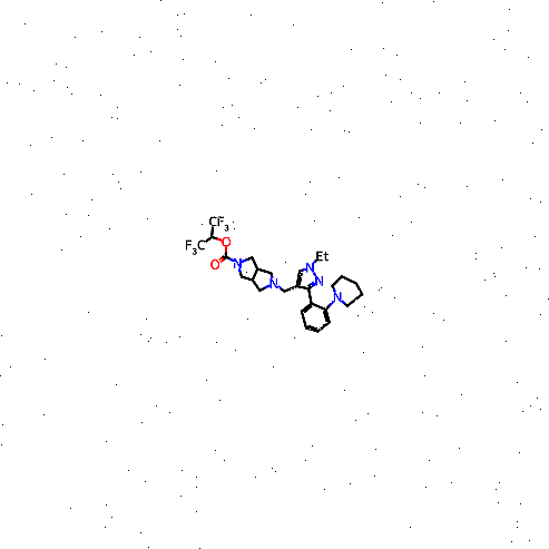 CCn1cc(CN2CC3CN(C(=O)OC(C(F)(F)F)C(F)(F)F)CC3C2)c(-c2ccccc2N2CCCCC2)n1